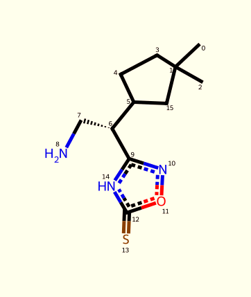 CC1(C)CCC([C@@H](CN)c2noc(=S)[nH]2)C1